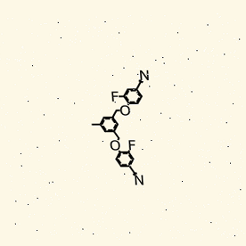 Cc1cc(COc2ccc(C#N)cc2F)cc(COc2ccc(C#N)cc2F)c1